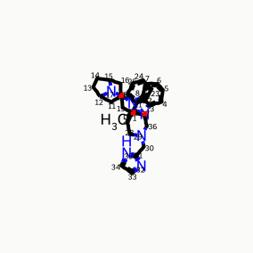 Cc1nc2ccccc2n1C1CC2CCC(C1)N2CCC1(c2ccccc2)CCN(Cc2ncc[nH]2)CC1